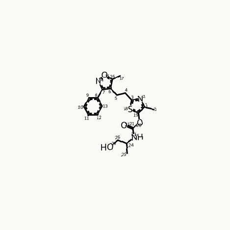 Cc1nc(CCc2c(-c3ccccc3)noc2C)sc1OC(=O)NC(C)CO